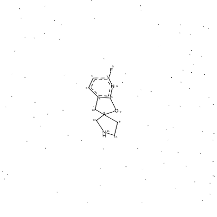 Fc1ccc2c(n1)OC1(CCNC1)C2